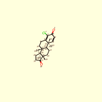 C[C@]12C=CC(=O)C(Cl)=C1CC[C@@H]1[C@@H]2CC[C@]2(C)C(=O)CC[C@@H]12